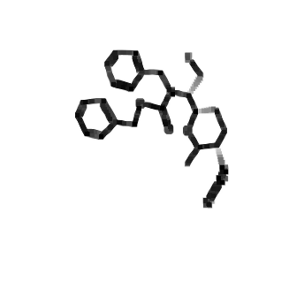 CC1O[C@H]([C@@H](CF)N(Cc2ccccc2)C(=O)OCc2ccccc2)CC[C@@H]1N=[N+]=[N-]